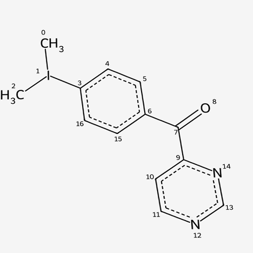 CI(C)c1ccc(C(=O)c2ccncn2)cc1